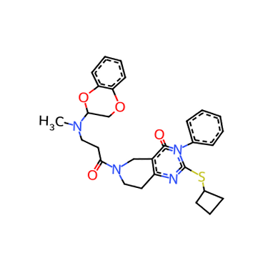 CN(CCC(=O)N1CCc2nc(SC3CCC3)n(-c3ccccc3)c(=O)c2C1)C1COc2ccccc2O1